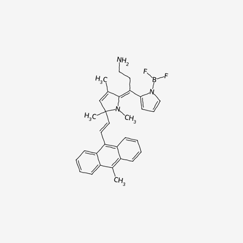 CC1=CC(C)(/C=C/c2c3ccccc3c(C)c3ccccc23)N(C)/C1=C(/CCN)c1cccn1B(F)F